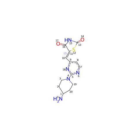 NC1CCN(c2nccc(/C=C3\SC(=O)NC3=O)n2)CC1